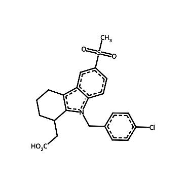 CS(=O)(=O)c1ccc2c(c1)c1c(n2Cc2ccc(Cl)cc2)C(CC(=O)O)CCC1